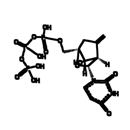 C=C1C[C@]2(COP(=O)(O)OP(=O)(O)OP(=O)(O)O)O[C@@H](n3ccc(=O)[nH]c3=O)[C@H]1[C@@H]2O